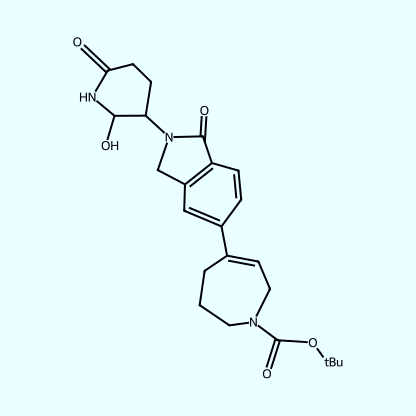 CC(C)(C)OC(=O)N1CC=C(c2ccc3c(c2)CN(C2CCC(=O)NC2O)C3=O)CCC1